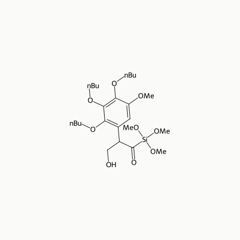 CCCCOc1c(OC)cc(C(CO)C(=O)[Si](OC)(OC)OC)c(OCCCC)c1OCCCC